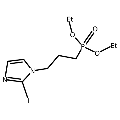 CCOP(=O)(CCCn1ccnc1I)OCC